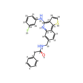 O=C(Cc1ccccc1)NCc1ccc2c(c1)nc(Nc1cccc(F)c1)c1ccsc12